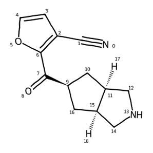 N#Cc1ccoc1C(=O)[C@H]1C[C@H]2CNC[C@H]2C1